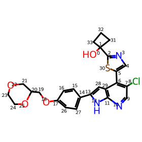 OC1(c2ncc(-c3c(Cl)cnc4[nH]c(-c5ccc(OCC6COCCO6)cc5)cc34)s2)CCC1